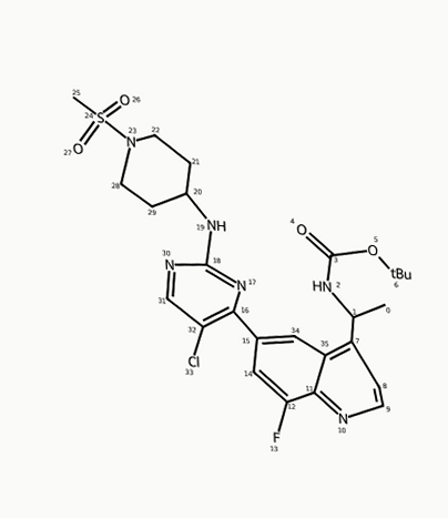 CC(NC(=O)OC(C)(C)C)c1ccnc2c(F)cc(-c3nc(NC4CCN(S(C)(=O)=O)CC4)ncc3Cl)cc12